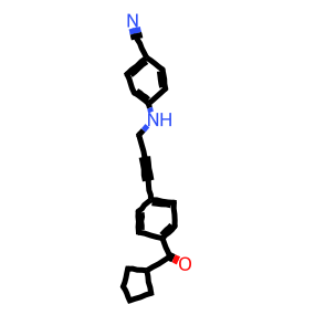 N#Cc1ccc(NCC#Cc2ccc(C(=O)C3CCCC3)cc2)cc1